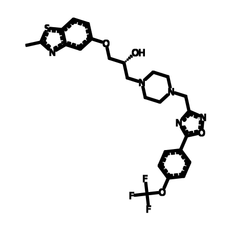 Cc1nc2cc(OC[C@H](O)CN3CCN(Cc4noc(-c5ccc(OC(F)(F)F)cc5)n4)CC3)ccc2s1